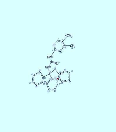 Cc1ccc(NC(=O)NC(Cc2ccccc2)(c2ccccc2)c2ccccn2)cc1C(F)(F)F